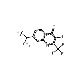 CC(C)c1ccn2c(=O)c(I)c(C(F)(F)F)nc2c1